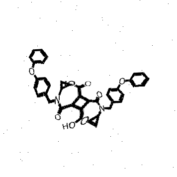 O=C(O)C1C(C(=O)N(Cc2ccc(Oc3ccccc3)cc2)C2CC2)C(C(=O)O)C1C(=O)N(Cc1ccc(Oc2ccccc2)cc1)C1CC1